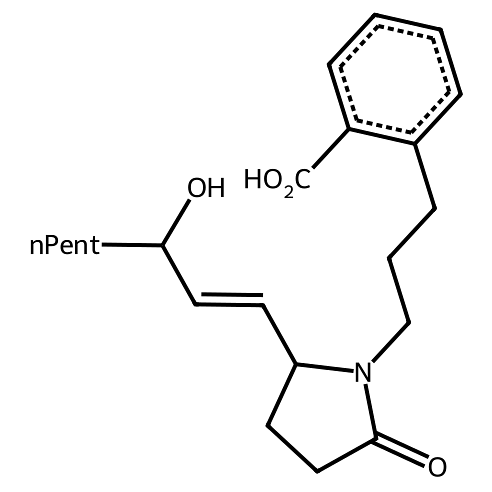 CCCCCC(O)C=CC1CCC(=O)N1CCCc1ccccc1C(=O)O